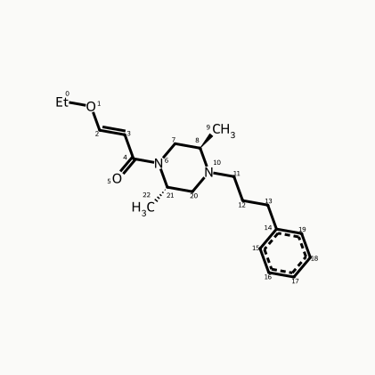 CCOC=CC(=O)N1C[C@@H](C)N(CCCc2ccccc2)C[C@@H]1C